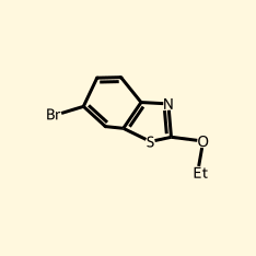 CCOc1nc2ccc(Br)cc2s1